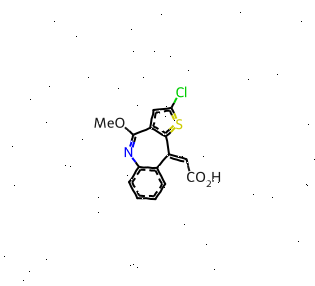 COC1=Nc2ccccc2C(=CC(=O)O)c2sc(Cl)cc21